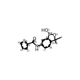 CC1(C)OB(O)c2cc(NC(=O)c3cccs3)ccc21